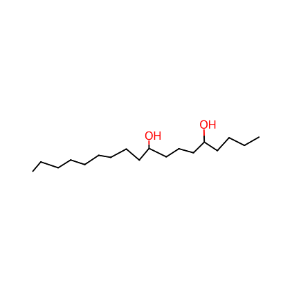 CCCCCCCCCC(O)CCCC(O)CCCC